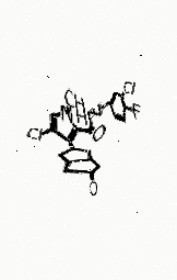 Cn1cc(Cl)c(C2CC3CC(=O)CC3C2)c1C(=O)Nc1ccc(F)c(Cl)c1